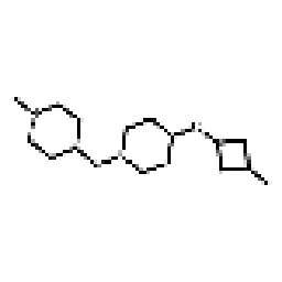 CC1CC(OC2CCN(CC3CCN(C)CC3)CC2)C1